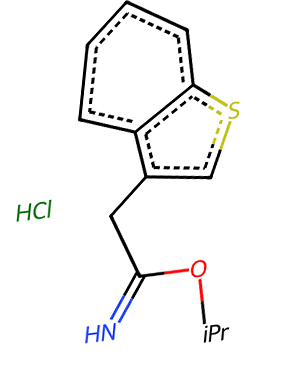 CC(C)OC(=N)Cc1csc2ccccc12.Cl